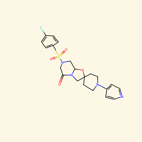 O=C1CN(S(=O)(=O)c2ccc(F)cc2)CC2OC3(CCN(c4ccncc4)CC3)CN12